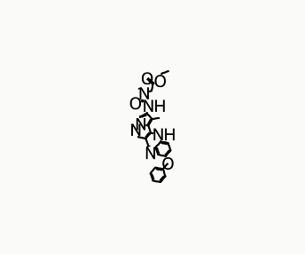 CCOC(=O)CN(C)C(=O)Nc1cn2ncc(C#N)c(Nc3ccc(Oc4ccccc4)cc3)c2c1C